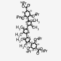 Cc1c(-c2sc(-c3c(OC(C)C)cc(C(=O)OC(C)C)cc3OC(C)C)c(C)c2C)sc(-c2sc(-c3c(OC(C)C)cc(C(=O)OC(C)C)cc3OC(C)C)c(C)c2C)c1C